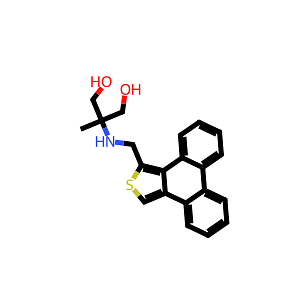 CC(CO)(CO)NCc1scc2c3ccccc3c3ccccc3c12